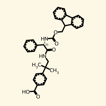 CC(C)(CNC(=O)[C@@H](NC(=O)OCC1c2ccccc2-c2ccccc21)c1ccccc1)c1ccc(C(=O)O)cc1